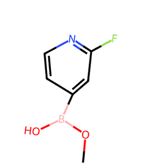 COB(O)c1ccnc(F)c1